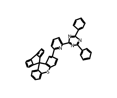 c1ccc(-c2nc(-c3ccccc3)nc(-c3cccc(-c4ccc5c(c4)C4(c6ccccc6S5)c5ccccc5-c5ccccc54)n3)n2)cc1